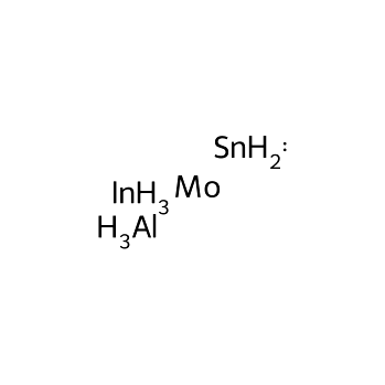 [AlH3].[InH3].[Mo].[SnH2]